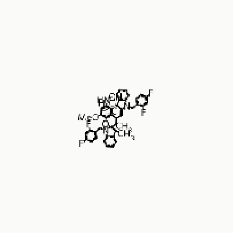 COc1cc(NO)cc2c1OC1(CC2/C=C2/N(Cc3ccc(F)cc3F)c3ccccc3C2(C)C)N(Cc2ccc(F)cc2F)c2ccccc2C1(C)C